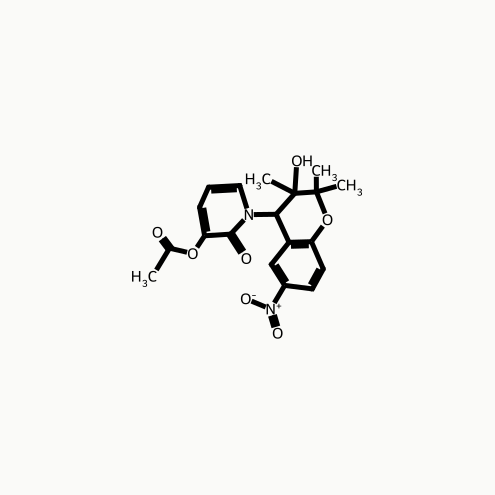 CC(=O)Oc1cccn(C2c3cc([N+](=O)[O-])ccc3OC(C)(C)C2(C)O)c1=O